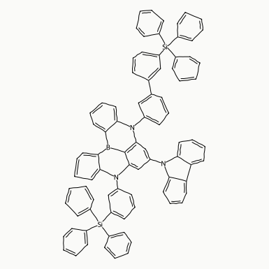 c1ccc([Si](c2ccccc2)(c2ccccc2)c2cccc(-c3cccc(N4c5ccccc5B5c6ccccc6N(c6cccc([Si](c7ccccc7)(c7ccccc7)c7ccccc7)c6)c6cc(-n7c8ccccc8c8ccccc87)cc4c65)c3)c2)cc1